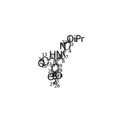 CC(C)Oc1ccc(-c2ccc(C(CC3CCOCC3)c3ccc(S(=O)(=O)C4CC4)cc3)[nH]2)nc1